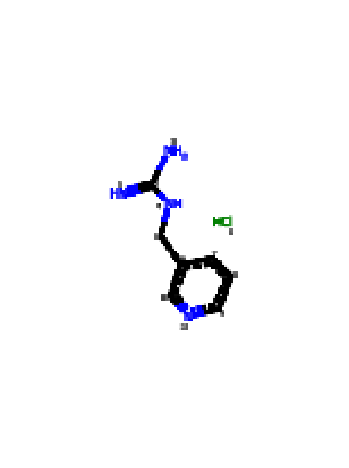 Cl.N=C(N)NCc1cccnc1